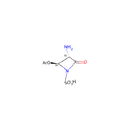 CC(=O)O[C@H]1[C@H](N)C(=O)N1S(=O)(=O)O